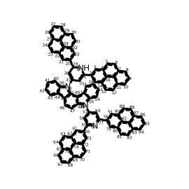 C1=C(c2cc3ccc4cccc5ccc(c2)c3c45)NC(c2cc3ccc4cccc5ccc(c2)c3c45)C=C1n1c2ccccc2c2ccc3c(c4ccccc4n3-c3cc(-c4cc5ccc6cccc7ccc(c4)c5c67)nc(-c4cc5ccc6cccc7ccc(c4)c5c67)c3)c21